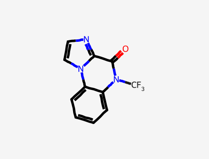 O=c1c2nccn2c2ccccc2n1C(F)(F)F